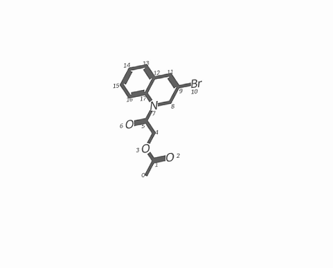 CC(=O)OCC(=O)N1CC(Br)=Cc2ccccc21